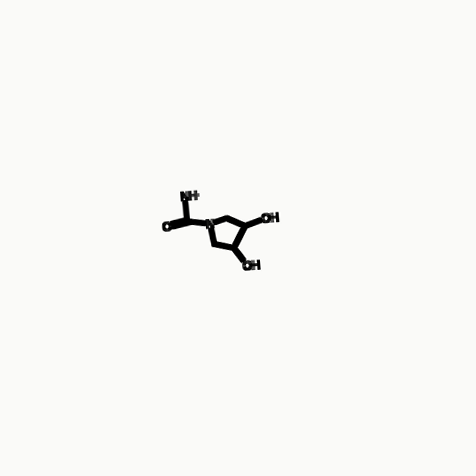 [NH]C(=O)N1CC(O)C(O)C1